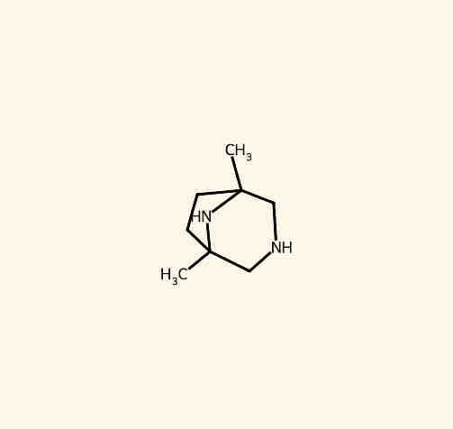 CC12CCC(C)(CNC1)N2